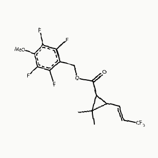 COc1c(F)c(F)c(COC(=O)C2C(C=CC(F)(F)F)C2(C)C)c(F)c1F